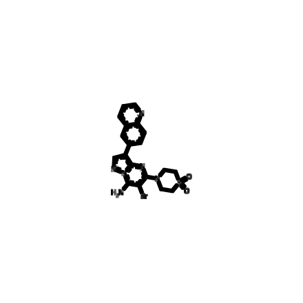 Nc1c(Br)c(N2CCS(=O)(=O)CC2)nc2c(-c3ccc4ncccc4c3)cnn12